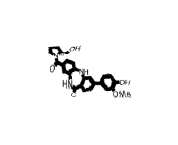 COc1cc(C2=CC3=C(CC2)C(=O)Nc2cc(C(=O)N4CCC[C@H]4CO)ccc2N3)ccc1O